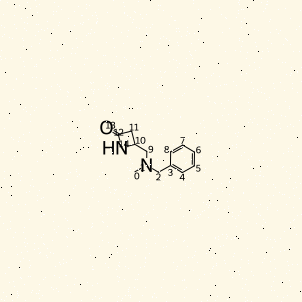 CN(Cc1ccccc1)CC1CC(=O)N1